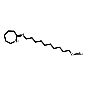 CCCCOCCCCCCCCCCN=C1CCCCCN1